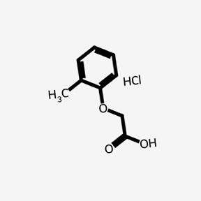 Cc1ccccc1OCC(=O)O.Cl